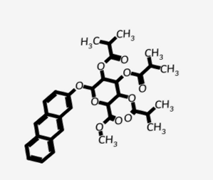 COC(=O)C1OC(Oc2ccc3cc4ccccc4cc3c2)C(OC(=O)C(C)C)C(OC(=O)C(C)C)C1OC(=O)C(C)C